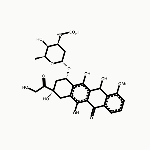 COc1cccc2c1C(O)c1c(O)c3c(c(O)c1C2=O)C[C@@](O)(C(=O)CO)C[C@@H]3O[C@H]1C[C@H](NC(=O)O)[C@H](O)[C@H](C)O1